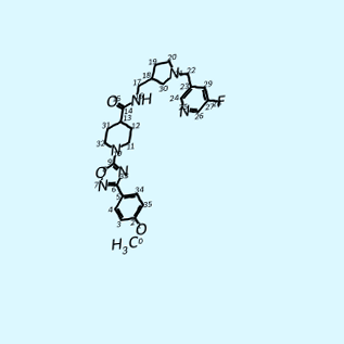 COc1ccc(-c2noc(N3CCC(C(=O)NCC4CCN(Cc5cncc(F)c5)C4)CC3)n2)cc1